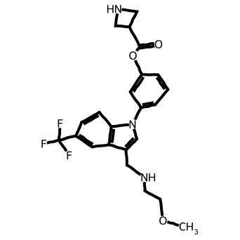 COCCNCc1cn(-c2cccc(OC(=O)C3CNC3)c2)c2ccc(C(F)(F)F)cc12